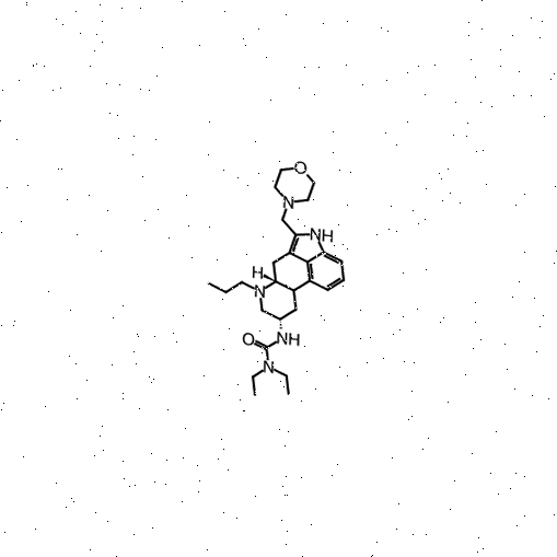 CCCN1C[C@@H](NC(=O)N(CC)CC)CC2c3cccc4[nH]c(CN5CCOCC5)c(c34)C[C@H]21